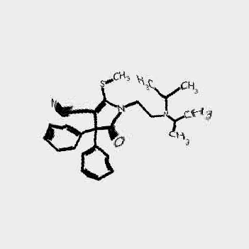 CSC1=C(C#N)C(c2ccccc2)(c2ccccc2)C(=O)N1CCN(C(C)C)C(C)C